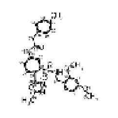 COc1ccc(CNS(=O)(=O)c2cc(NC(=O)Cc3ccc(C)cc3)ccc2-c2nnc(C)o2)c(OC)c1